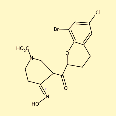 O=C(C1CCc2cc(Cl)cc(Br)c2O1)C1CN(C(=O)O)CC/C1=N\O